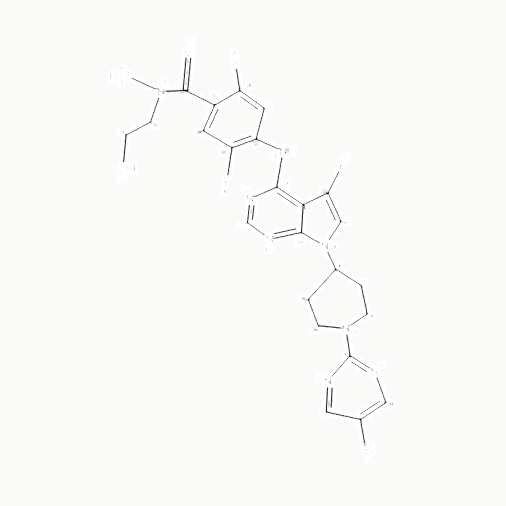 CCc1cnc(N2CCC(n3cc(F)c4c(Nc5cc(F)c(C(=O)N(C)CCO)cc5F)ncnc43)CC2)nc1